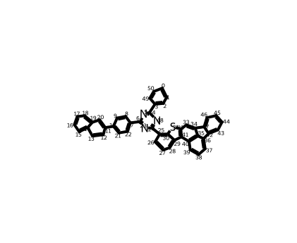 c1ccc(-c2nc(-c3ccc(-c4ccc5ccccc5c4)cc3)nc(-c3cccc4c3sc3cc5c6c(cccc6c34)-c3ccccc3-5)n2)cc1